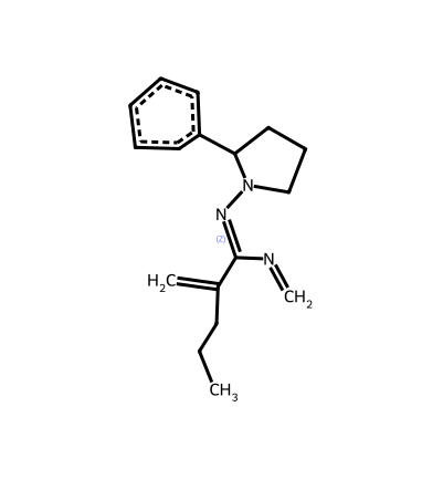 C=N/C(=N\N1CCCC1c1ccccc1)C(=C)CCC